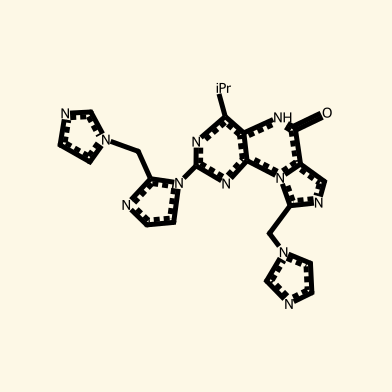 CC(C)c1nc(-n2ccnc2Cn2ccnc2)nc2c1[nH]c(=O)c1cnc(Cn3ccnc3)n12